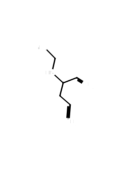 C=CC[C](C=C)NCCCCC